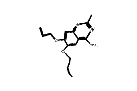 CCCOc1cc2nc(C)nc(N)c2cc1OCCC